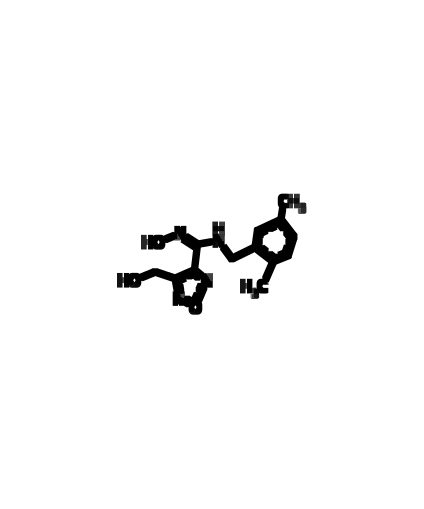 Cc1ccc(C)c(CN/C(=N/O)c2nonc2CO)c1